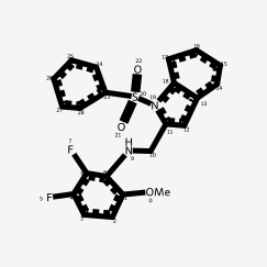 COc1ccc(F)c(F)c1NCc1cc2ccccc2n1S(=O)(=O)c1ccccc1